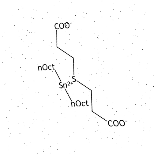 CCCCCCC[CH2][Sn+2][CH2]CCCCCCC.O=C([O-])CCSCCC(=O)[O-]